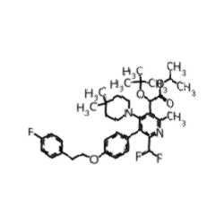 Cc1nc(C(F)F)c(-c2ccc(OCCc3ccc(F)cc3)cc2)c(N2CCC(C)(C)CC2)c1C(OC(C)(C)C)C(=O)OC(C)C